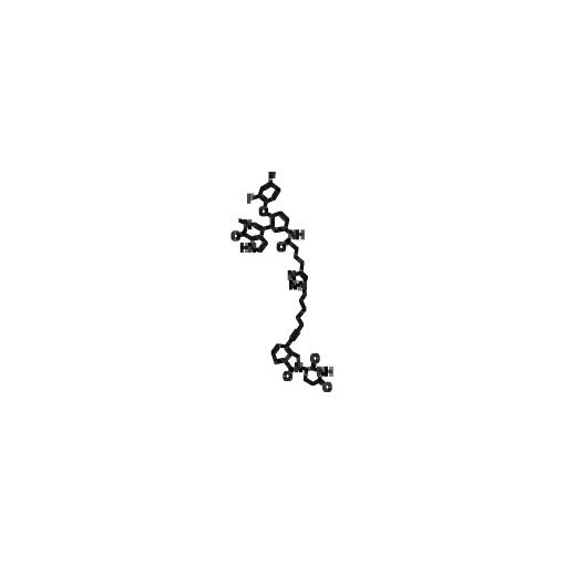 Cn1cc(-c2cc(NC(=O)CCCc3cn(CCCCCC#Cc4cccc5c4CN(C4CCC(=O)NC4=O)C5=O)nn3)ccc2Oc2ccc(F)cc2F)c2cc[nH]c2c1=O